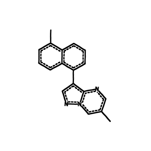 Cc1cnc2c(-c3cccc4c(C)cccc34)cnn2c1